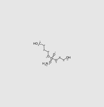 N.O=C(O)CCCOS(=O)(=O)OCCO